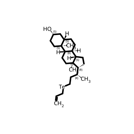 C=CC[Te]CC[C@@H](C)[C@H]1CC[C@H]2[C@@H]3CC[C@H]4C[C@@H](O)CC[C@]4(C)[C@H]3CC[C@]12C